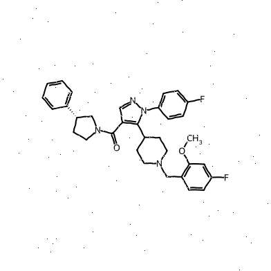 COc1cc(F)ccc1CN1CCC(c2c(C(=O)N3CC[C@H](c4ccccc4)C3)cnn2-c2ccc(F)cc2)CC1